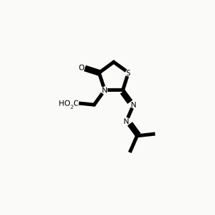 CC(C)=NN=C1SCC(=O)N1CC(=O)O